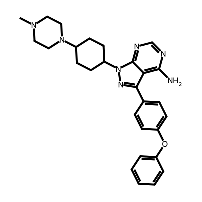 CN1CCN(C2CCC(n3nc(-c4ccc(Oc5ccccc5)cc4)c4c(N)ncnc43)CC2)CC1